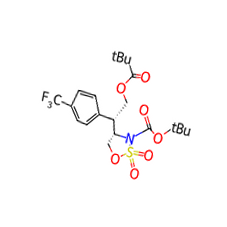 CC(C)(C)OC(=O)N1[C@@H]([C@@H](COC(=O)C(C)(C)C)c2ccc(C(F)(F)F)cc2)COS1(=O)=O